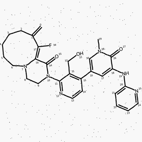 C=C1CCCCCN2CCN(c3nccc(-c4cc(Nc5ccccn5)c(=O)n(C)c4)c3CO)C(=O)/C2=C/1F